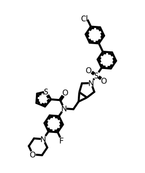 O=C(c1cccs1)N(CC1C2CN(S(=O)(=O)c3cccc(-c4ccc(Cl)cc4)c3)CC12)c1ccc(N2CCOCC2)c(F)c1